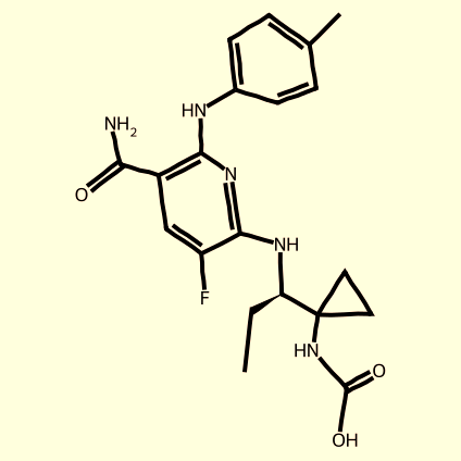 CC[C@@H](Nc1nc(Nc2ccc(C)cc2)c(C(N)=O)cc1F)C1(NC(=O)O)CC1